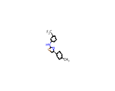 Cc1ccc(-c2csc(Nc3cccc(C(F)(F)F)c3)n2)cc1